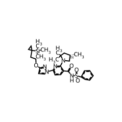 C[C@@H]1CN(c2nc(-n3ccc(OCCC4([Si](C)(C)C)CC4)n3)ccc2C(=O)NS(=O)(=O)c2ccccc2)C(C)(C)C1